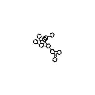 c1ccc(-c2cccc(C3c4ccc(-c5ccc6c(c5)c5ccccc5n6-c5ccccc5)cc4-c4ccc5c(c43)C(c3ccccc3)(c3ccccc3)c3ccccc3-5)c2)cc1